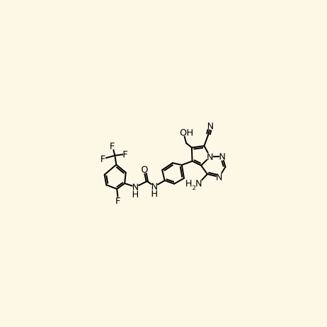 N#Cc1c(CO)c(-c2ccc(NC(=O)Nc3cc(C(F)(F)F)ccc3F)cc2)c2c(N)ncnn12